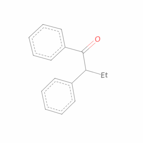 [CH2]CC(C(=O)c1ccccc1)c1ccccc1